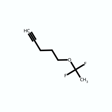 C#CCCCOC(C)(F)F